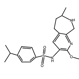 COc1nc2c(cc1NS(=O)(=O)c1ccc(C(C)C)cc1)CCC(C)NC2